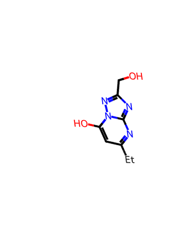 CCc1cc(O)n2nc(CO)nc2n1